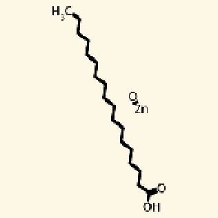 CCCCCCCCCCCCCCCCCC(=O)O.[O]=[Zn]